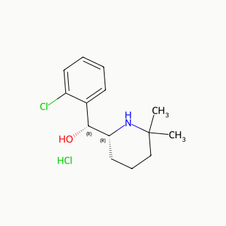 CC1(C)CCC[C@H]([C@H](O)c2ccccc2Cl)N1.Cl